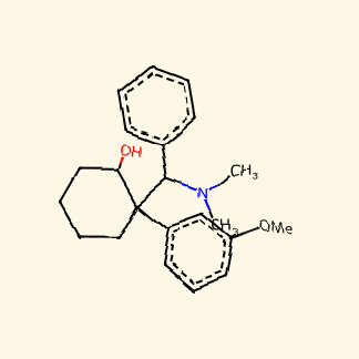 COc1cccc(C2(C(c3ccccc3)N(C)C)CCCCC2O)c1